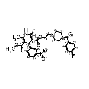 COC(=O)C1=C(C)NC(C)=C(C(=O)OCCN2CCC(C(=O)c3ccc(F)cc3)CC2)[C@@H]1c1cccc([N+](=O)[O-])c1